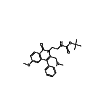 COc1ccc2c(=O)n(CCNC(=O)OC(C)(C)C)c(CN(C)C)c(-c3ccccc3)c2c1